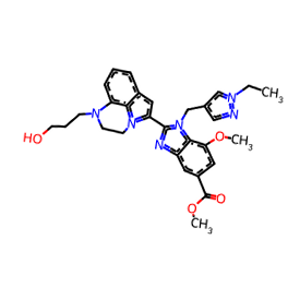 CCn1cc(Cn2c(-c3cc4cccc5c4n3CCN5CCCO)nc3cc(C(=O)OC)cc(OC)c32)cn1